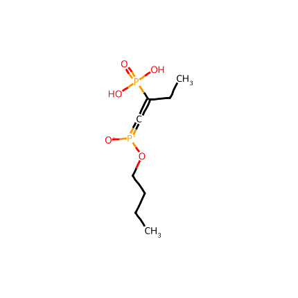 CCCCO[P+]([O-])=C=C(CC)P(=O)(O)O